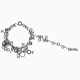 CC(=O)NCCCOCCOCCOCCCNC(=O)CCC(=O)NCCCC[C@@H]1NC(=O)CCSCc2cccc(c2)CSCCNC(=O)[C@]2(C)CCCN2C(=O)[C@H](Cc2ccc(O)cc2)NC(=O)[C@H](Cc2cnc[nH]2)NC(=O)[C@H](CC(=O)O)NC(=O)[C@H](CC2c3cc(F)ccc3NC23CCCCCCC3)NC(=O)[C@H](Cc2c[nH]c3ccc(F)cc23)NC(=O)CNC1=O